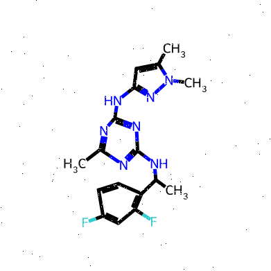 Cc1nc(Nc2cc(C)n(C)n2)nc(NC(C)c2ccc(F)cc2F)n1